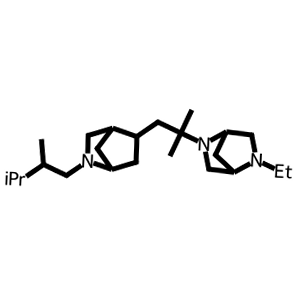 CCN1CC2CC1CN2C(C)(C)CC1CC2CC1CN2CC(C)C(C)C